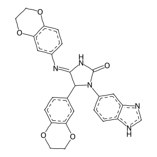 O=C1NC(=Nc2ccc3c(c2)OCCO3)C(c2ccc3c(c2)OCCO3)N1c1ccc2[nH]cnc2c1